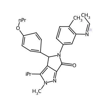 C/C=N\c1cc(N2C(=O)c3nn(C)c(C(C)C)c3C2c2ccc(OCCC)cc2)ccc1C